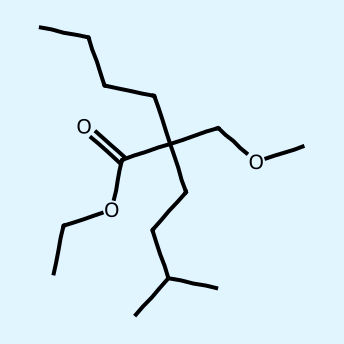 CCCCC(CCC(C)C)(COC)C(=O)OCC